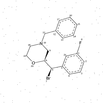 Fc1cccc([C@@H](Br)[C@@H]2CN(Cc3ccccc3)CCO2)c1